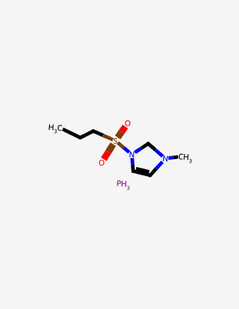 CCCS(=O)(=O)N1C=CN(C)C1.P